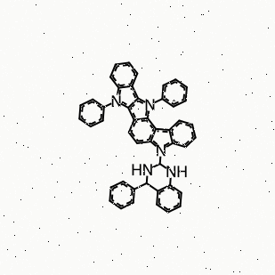 c1ccc(C2NC(n3c4ccccc4c4c5c(ccc43)c3c(c4ccccc4n3-c3ccccc3)n5-c3ccccc3)Nc3ccccc32)cc1